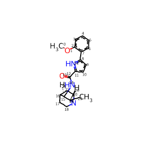 COc1ccccc1-c1ccc(C(=O)N[C@@H]2C3CCN(CC3)[C@H]2C)[nH]1